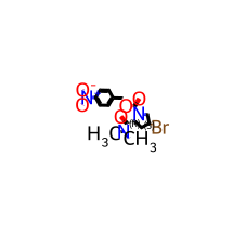 CN(C)C(=O)[C@H]1C[C@H](Br)CN1C(=O)OCc1ccc([N+](=O)[O-])cc1